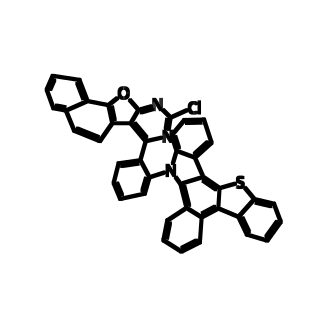 Clc1nc(-c2ccccc2-n2c3ccccc3c3c4sc5ccccc5c4c4ccccc4c32)c2c(n1)oc1c3ccccc3ccc12